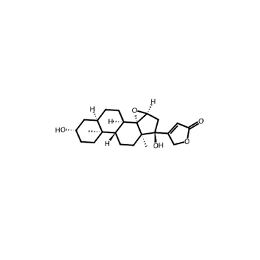 C[C@]12CC[C@H](O)C[C@H]1CC[C@@H]1[C@@H]2CC[C@@]2(C)[C@@]13O[C@H]3C[C@]2(O)C1=CC(=O)OC1